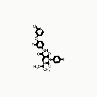 CC(C)n1cc(C(=O)Nc2ccc(Oc3ccnc(Cl)c3)c(F)c2)c(=O)n(-c2ccc(F)cc2)c1=O